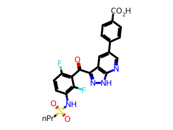 CCCS(=O)(=O)Nc1ccc(F)c(C(=O)c2n[nH]c3ncc(-c4ccc(C(=O)O)cc4)cc23)c1F